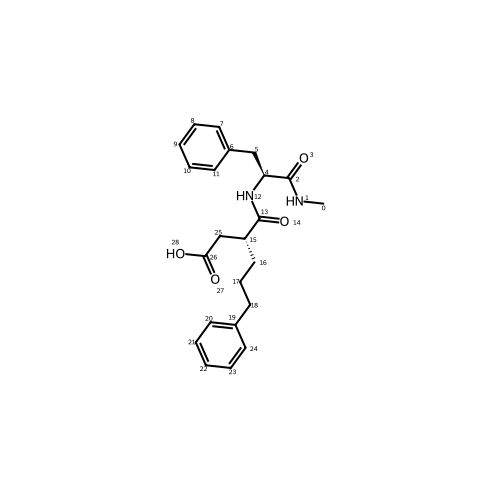 CNC(=O)[C@H](Cc1ccccc1)NC(=O)[C@H](CCCc1ccccc1)CC(=O)O